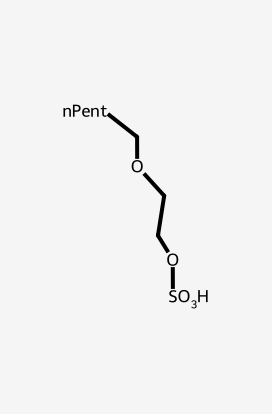 CCCCCCOCCOS(=O)(=O)O